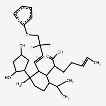 C/C=C/CCC(C(=O)O)C1C(C(C)C)CCC(C)(C2CC(O)CC2O)C1/C=C/C(F)(F)COc1ccccc1